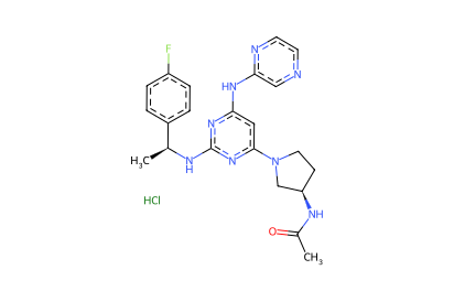 CC(=O)N[C@@H]1CCN(c2cc(Nc3cnccn3)nc(N[C@@H](C)c3ccc(F)cc3)n2)C1.Cl